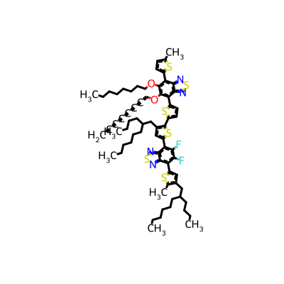 C=C=C=C=C=C=C=COc1c(OCCCCCCCC)c(-c2ccc(C)s2)c2nsnc2c1-c1ccc(-c2sc(-c3c(F)c(F)c(-c4cc(CC(CCCC)CCCCCC)c(C)s4)c4nsnc34)cc2CC(CCCC)CCCCCC)s1